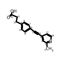 Cc1cc(C#Cc2ccc(CCC(=O)O)cc2)ccn1